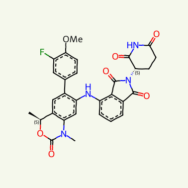 COc1ccc(-c2cc3c(cc2Nc2cccc4c2C(=O)N([C@H]2CCC(=O)NC2=O)C4=O)N(C)C(=O)O[C@H]3C)cc1F